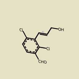 O=Cc1ccc(Cl)c(/C=C/CO)c1Cl